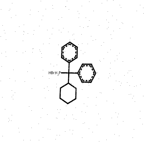 Br.PC(c1ccccc1)(c1ccccc1)C1CCCCC1